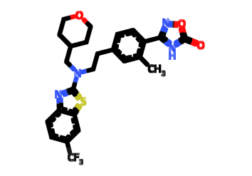 Cc1cc(CCN(CC2CCOCC2)c2nc3ccc(C(F)(F)F)cc3s2)ccc1-c1noc(=O)[nH]1